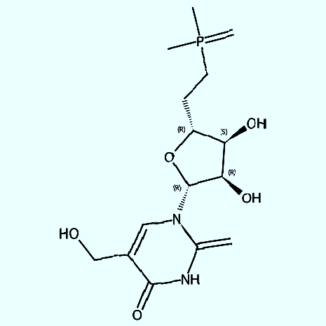 C=C1NC(=O)C(CO)=CN1[C@@H]1O[C@H](CCP(=C)(C)C)[C@@H](O)[C@H]1O